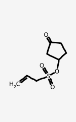 C=CCS(=O)(=O)OC1CCC(=O)C1